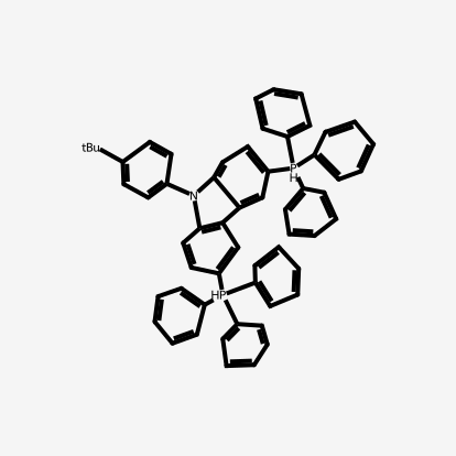 CC(C)(C)c1ccc(-n2c3ccc([PH](c4ccccc4)(c4ccccc4)c4ccccc4)cc3c3cc([PH](c4ccccc4)(c4ccccc4)c4ccccc4)ccc32)cc1